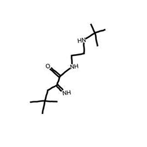 CC(C)(C)CC(=N)C(=O)NCCNC(C)(C)C